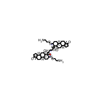 CC1(C)/C(=N/OCCN)CC[C@]2(C)[C@@H]3CC[C@]4(C)C(=O)CC[C@H]4[C@@H]3CC(O)C12OC(=O)/C=C/C(=O)OC12C(O)C[C@@H]3[C@@H](CC[C@]4(C)C(=O)CC[C@@H]34)[C@@]1(C)CC/C(=N\OCCN)C2(C)C